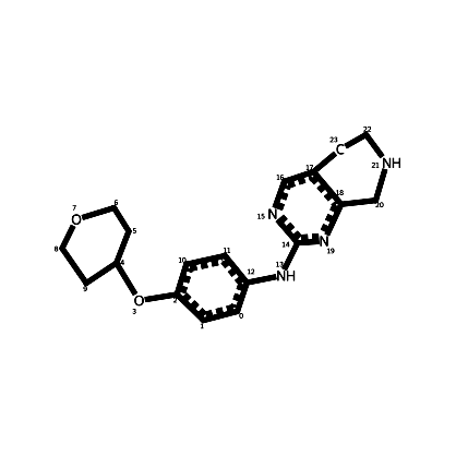 c1cc(OC2CCOCC2)ccc1Nc1ncc2c(n1)CNCC2